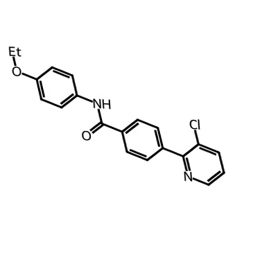 CCOc1ccc(NC(=O)c2ccc(-c3ncccc3Cl)cc2)cc1